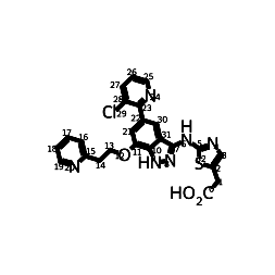 O=C(O)Cc1cnc(Nc2n[nH]c3c(OCCc4ccccn4)cc(-c4ncccc4Cl)cc23)s1